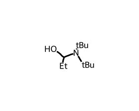 CCC(O)N(C(C)(C)C)C(C)(C)C